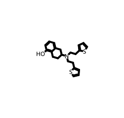 Oc1cccc2c1CCC(N(CCc1cccs1)CCc1cccs1)C2